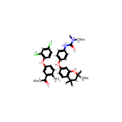 COC(=O)c1cc(Oc2ccc(Cl)cc2Cl)ccc1[N+](=O)[O-].CON(C)C(=O)Nc1ccc(Oc2ccc3c(c2)OC(C)(OC)CC3(C)C)cc1